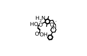 Cc1c(C)c2c(c(C)c1N)C[C@@](C)(CN1CCC(c3ccccc3)CC1)O2.O=C(O)C=CC(=O)O